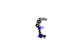 CSc1ccc(-c2cccc(NCCCCCc3cc(C4CC4)nn3C)c2)cc1